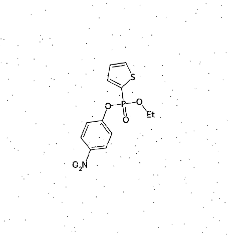 CCOP(=O)(Oc1ccc([N+](=O)[O-])cc1)c1cccs1